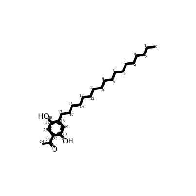 CCCCCCCCCCCCCCCCCCc1cc(O)c(C(C)=O)cc1O